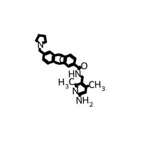 Cc1cc(N)nc(C)c1CNC(=O)c1ccc2c(c1)C1OC2c2cc(CN3CCCC3)ccc21